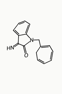 N=C1C(=O)N(CC2=CC=CC=CC2)c2ccccc21